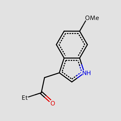 CCC(=O)Cc1c[nH]c2cc(OC)ccc12